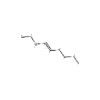 CCCC/C=C/OCC